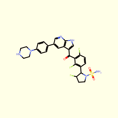 NS(=O)(=O)N1CCC(F)C1c1ccc(F)c(C(=O)c2c[nH]c3ncc(-c4ccc(N5CCNCC5)cc4)cc23)c1F